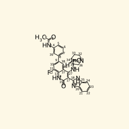 CC(=O)Nc1cccc(-c2cc(F)c3[nH]c(=O)c(-c4nc5ccccc5[nH]4)c(N[C@H]4CN5CCC4CC5)c3c2)c1